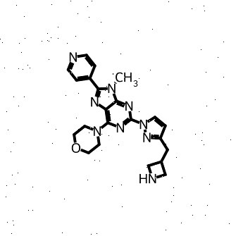 Cn1c(-c2ccncc2)nc2c(N3CCOCC3)nc(-n3ccc(CC4CNC4)n3)nc21